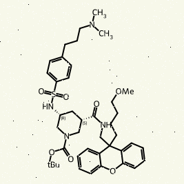 COCCCCC1(CNC(=O)[C@H]2C[C@@H](NS(=O)(=O)c3ccc(CCCN(C)C)cc3)CN(C(=O)OC(C)(C)C)C2)c2ccccc2Oc2ccccc21